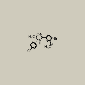 COc1nc(C2=NO[C@@H](C)[C@@H](c3ccc(Cl)cc3)N2)ccc1Br